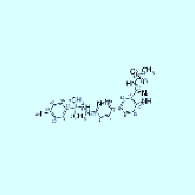 CC(C)(CNc1ccc(-c2ccc3[nH]nc(NS(C)(=O)=O)c3c2)nn1)c1ccc(F)cc1